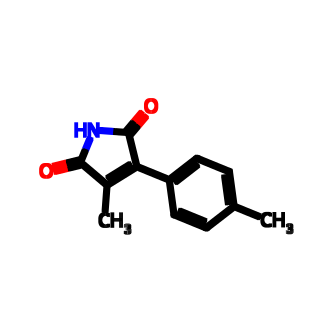 CC1=C(c2ccc(C)cc2)C(=O)NC1=O